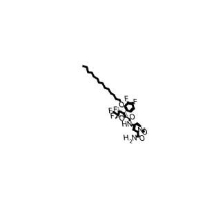 CCCCCCCCCCCCCCOc1c([C@@H]2[C@@H](C(=O)NC3=CC(C(N)=O)[N+](=O)C=C3)O[C@](C)(C(F)(F)F)[C@@H]2C)ccc(F)c1F